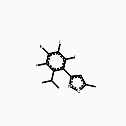 Cc1cc(-c2c(F)c(F)c(F)c(F)c2C(C)C)no1